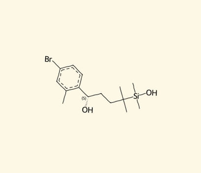 Cc1cc(Br)ccc1[C@@H](O)CCC(C)(C)[Si](C)(C)O